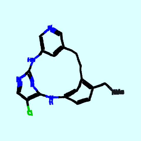 CNCc1ccc2cc1CCc1cncc(c1)Nc1ncc(Cl)c(n1)N2